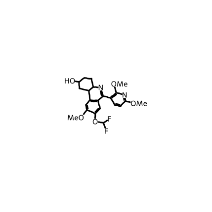 COc1ccc(C2=NC3CCC(O)CC3c3cc(OC)c(OC(F)F)cc32)c(OC)n1